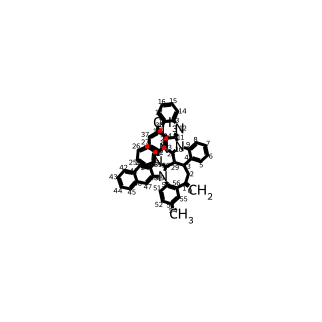 C=C1CC2c3ccccc3N3c4nc5ccccc5nc4N(c4ccccc4)C3C2C2N(c3ccc(C)cc3)c3cc4ccccc4cc3N2c2ccc(C)cc21